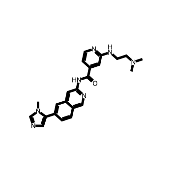 CN(C)CCNc1cc(C(=O)Nc2cc3cc(-c4cncn4C)ccc3cn2)ccn1